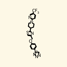 FC(F)(F)c1ccc(N2CCC(c3nc(COc4ccc(-n5cnnn5)cc4)cs3)CC2)nc1